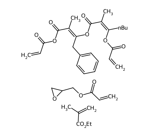 C=C(C)C(=O)OCC.C=CC(=O)OC(=O)C(C)=C(Cc1ccccc1)OC(=O)C(C)=C(CCCC)OC(=O)C=C.C=CC(=O)OCC1CO1